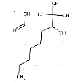 CCCCCCC(O)C(O)(O)O.O=CO